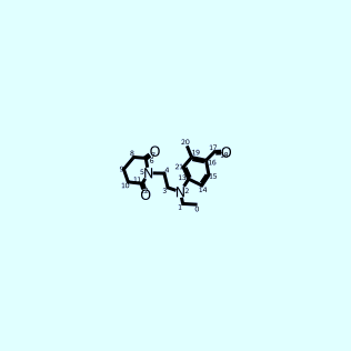 CCN(CCN1C(=O)CCCC1=O)c1ccc(C=O)c(C)c1